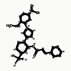 CNc1ccc([N+](=O)[O-])cc1-n1cnc(-c2ccc(C(F)(F)F)cc2OC(=O)/C=C/c2ccccc2)c1